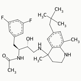 CC(=O)N[C@@H](Cc1cc(F)cc(F)c1)[C@H](O)CNC1(C)CCNc2c(C)cc(CC(C)(C)C)cc21